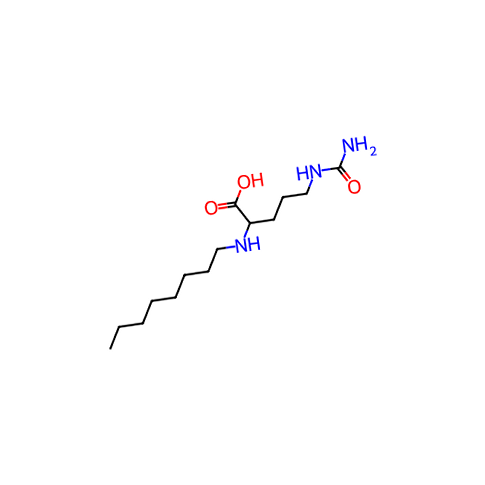 CCCCCCCCNC(CCCNC(N)=O)C(=O)O